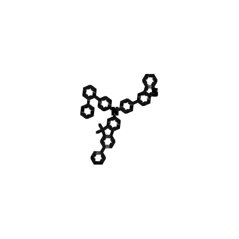 CC1(C)c2cc(-c3ccccc3)ccc2-c2ccc(N(c3ccc(-c4ccc5sc6ccccc6c5c4)cc3)c3ccc(-c4ccccc4-c4ccccc4)cc3)cc21